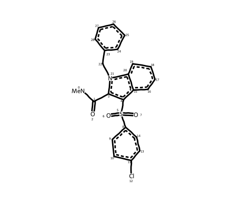 CNC(=O)c1c(S(=O)(=O)c2ccc(Cl)cc2)c2ccccc2n1Cc1ccccc1